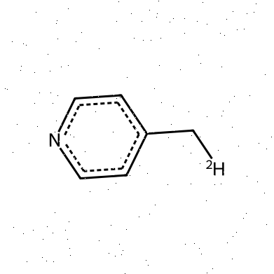 [2H]Cc1ccncc1